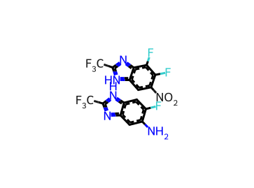 Nc1cc2nc(C(F)(F)F)[nH]c2cc1F.O=[N+]([O-])c1cc2[nH]c(C(F)(F)F)nc2c(F)c1F